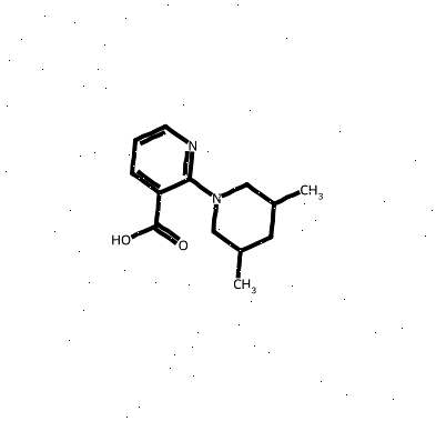 CC1CC(C)CN(c2ncccc2C(=O)O)C1